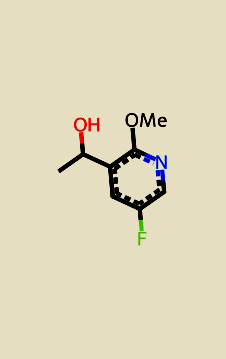 COc1ncc(F)cc1C(C)O